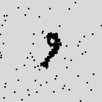 Cc1cc2cc(n1)-c1cnn(C)c1OCCC[C@@H](C)CN1/C(=N/C2=O)Nc2ccc(C(=O)N(C)C3CCN(CCC4CN(c5cc(F)cc(F)c5)C4)CC3)cc21